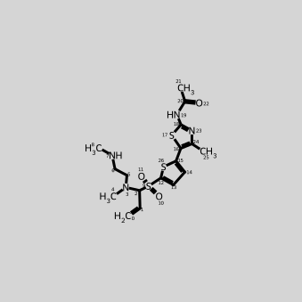 C=CC(N(C)CCNC)S(=O)(=O)c1ccc(-c2sc(NC(C)=O)nc2C)s1